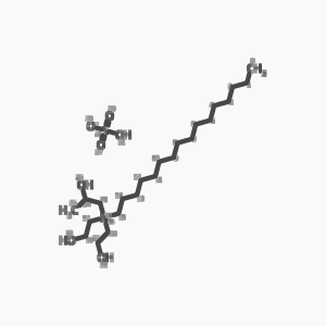 CCCCCCCCCCCCCCCC[N+](CCO)(CCO)CC(C)O.O=S(=O)([O-])O